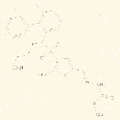 CSc1sc(C=NNC(=O)OC(C)(C)C)cc1S(=O)(=O)C(OCCC(=O)O)c1cccc(C)c1-c1ccccc1